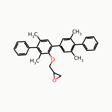 Cc1cc(-c2cc(C)c(-c3ccccc3)c(C)c2OCC2CO2)cc(C)c1-c1ccccc1